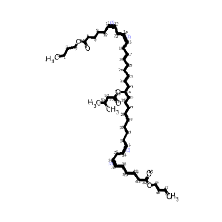 CCCCOC(=O)CCCC/C=C\C/C=C\CCCCCCCCC(CCCCCCCC/C=C\C/C=C\CCCCC(=O)OCCCC)OC(=O)CC(C)C